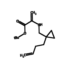 C=CCCC1(CNC(=C)C(=O)OC(C)(C)C)CC1